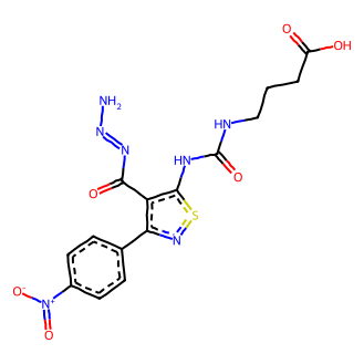 NN=NC(=O)c1c(-c2ccc([N+](=O)[O-])cc2)nsc1NC(=O)NCCCC(=O)O